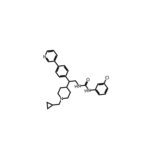 O=C(NCC(c1ccc(-c2cccnc2)cc1)C1CCN(CC2CC2)CC1)Nc1cccc(Cl)c1